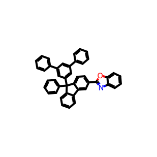 c1ccc(-c2cc(-c3ccccc3)cc(C3(c4ccccc4)c4ccccc4-c4cc(-c5nc6ccccc6o5)ccc43)c2)cc1